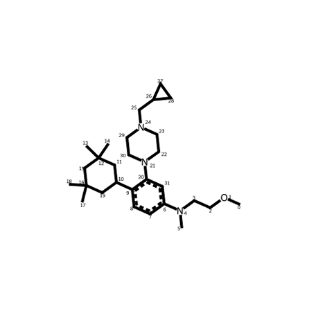 COCCN(C)c1ccc(C2CC(C)(C)CC(C)(C)C2)c(N2CCN(CC3CC3)CC2)c1